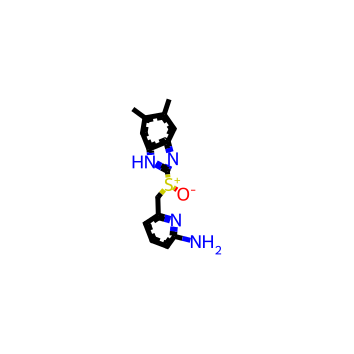 Cc1cc2nc([S+]([O-])Cc3cccc(N)n3)[nH]c2cc1C